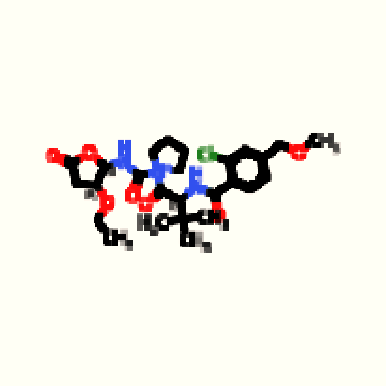 CCO[C@H]1CC(=O)O[C@H]1NC(=O)[N+]1(C(=O)[C@@H](NC(=O)c2ccc(COC)cc2Cl)C(C)(C)C)CCCC1